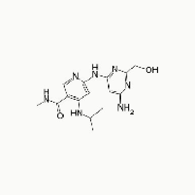 CNC(=O)c1cnc(Nc2cc(N)nc(CO)n2)cc1NC(C)C